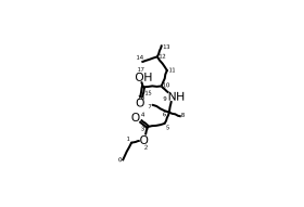 CCOC(=O)CC(C)(C)NC(CC(C)C)C(=O)O